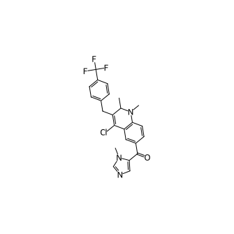 CC1C(Cc2ccc(C(F)(F)F)cc2)=C(Cl)c2cc(C(=O)c3cncn3C)ccc2N1C